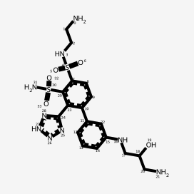 NCCNS(=O)(=O)c1ccc(-c2cccc(NCC(O)CN)c2)c(-c2nn[nH]n2)c1S(N)(=O)=O